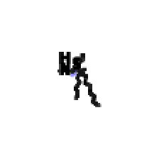 C=CS/C(=C\NC)C(C)(CCCCC)CCCCCCC